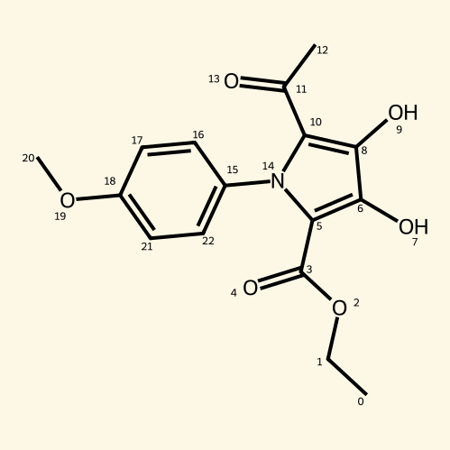 CCOC(=O)c1c(O)c(O)c(C(C)=O)n1-c1ccc(OC)cc1